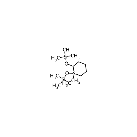 C[Si](C)(C)OC1CCCC[Si]1(C)O[Si](C)(C)C